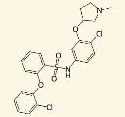 CN1CCC(Oc2cc(NS(=O)(=O)c3ccccc3Oc3ccccc3Cl)ccc2Cl)C1